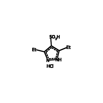 CCc1n[nH]c(CC)c1S(=O)(=O)O.Cl